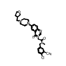 CN(Cc1ccc(Cl)c(C#N)c1)C(=O)Cn1cnc2ccc(N3CCN(CC4CCOC4)CC3)cc2c1=O